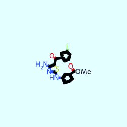 COC(=O)c1cccc(Nc2nc(N)c(C(=O)c3cccc(F)c3)s2)c1